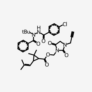 C#CCN1CC(=O)N(COC(=O)C2C(C=C(C)C)C2(C)C)C1=O.CC(C)(C)N(NC(=O)c1ccc(Cl)cc1)C(=O)c1ccccc1